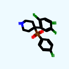 Cl.O=S(=O)(c1ccc(Cl)cc1)C1(c2cc(F)ccc2F)CCNCC1